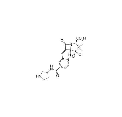 CC1(C)[C@H](C(=O)O)N2C(=O)/C(=C/c3cc(C(=O)NC4CCNC4)ccn3)[C@H]2S1(=O)=O